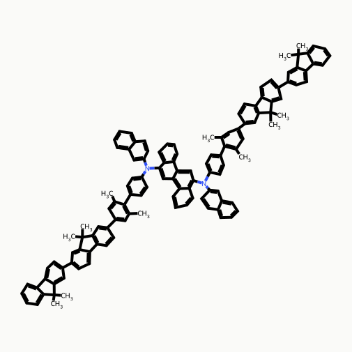 Cc1cc(-c2ccc3c(c2)C(C)(C)c2cc(-c4ccc5c(c4)C(C)(C)c4ccccc4-5)ccc2-3)cc(C)c1-c1ccc(N(c2ccc3ccccc3c2)c2cc3c4ccccc4c(N(c4ccc(-c5c(C)cc(-c6ccc7c(c6)C(C)(C)c6cc(-c8ccc9c(c8)C(C)(C)c8ccccc8-9)ccc6-7)cc5C)cc4)c4ccc5ccccc5c4)cc3c3ccccc23)cc1